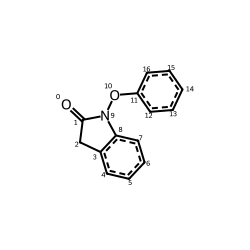 O=C1Cc2ccccc2N1Oc1ccccc1